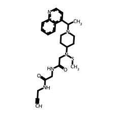 C#CCNC(=O)CNC(=O)CN(SC)C1CCN(C(C)c2ccnc3ccccc23)CC1